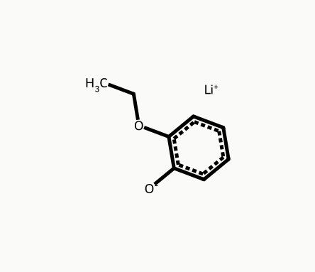 CCOc1ccccc1[O-].[Li+]